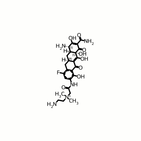 C[N+](C)(CCN)CC(=O)Nc1cc(F)c2c(c1O)C(=O)C1=C(O)[C@]3(O)C(=O)C(C(N)=O)=C(O)[C@@H](N)[C@@H]3C[C@@H]1C2